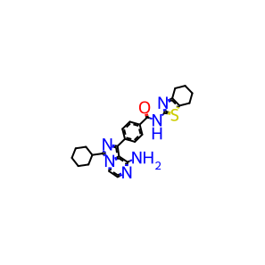 Nc1nccn2c(C3CCCCC3)nc(-c3ccc(C(=O)Nc4nc5c(s4)CCCC5)cc3)c12